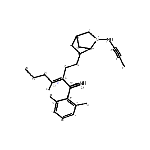 CC#CNN1CC2CC(CC/C(C(=N)c3c(C)cccc3C)=C(/C)CCC)C1C2